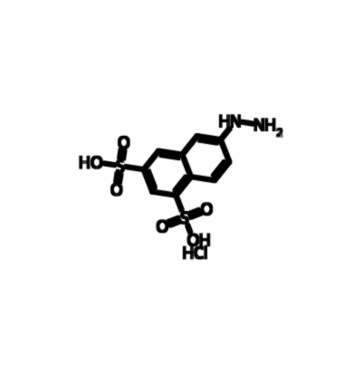 Cl.NNc1ccc2c(S(=O)(=O)O)cc(S(=O)(=O)O)cc2c1